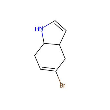 BrC1=CCC2NC=CC2C1